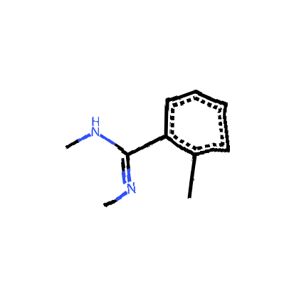 CN=C(NC)c1ccccc1C